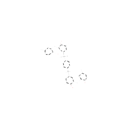 Cc1ccc(O)c(Cc2cc(C(C)(C)c3ccc(C(C)(C)c4cc(C)c(O)c(Cc5cc(C)ccc5O)c4)cc3)cc(C)c2O)c1